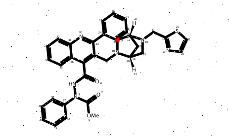 COC(=O)N(NC(=O)c1c(CN2C[C@H]3C[C@@H]2CN3Cc2nccs2)c(-c2ccccc2)nc2ccccc12)c1ccccc1